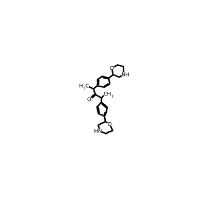 CC(C(=O)C(C)c1ccc(C2CNCCO2)cc1)c1ccc(C2CNCCO2)cc1